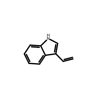 C=Cc1c[nH]c2ccccc12